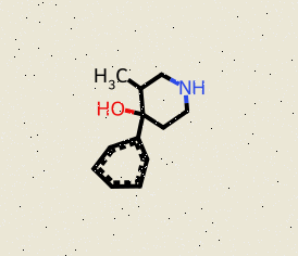 CC1CNCCC1(O)c1ccccc1